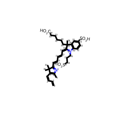 C=C/C=C\C1=C(C)N=C(/C=C/C=C/C=C2\N(CCCS(=O)(=O)O)c3ccc(S(=O)(=O)O)cc3C2(C)CCCCCC(=O)O)C1(C)C